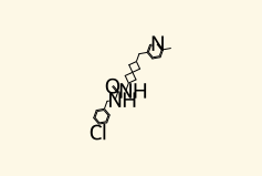 Cc1ccc(CC2CC3(C2)CC(NC(=O)NCc2ccc(Cl)cc2)C3)cn1